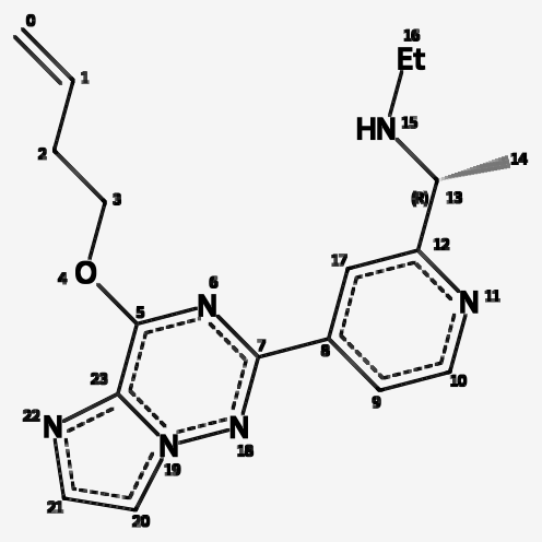 C=CCCOc1nc(-c2ccnc([C@@H](C)NCC)c2)nn2ccnc12